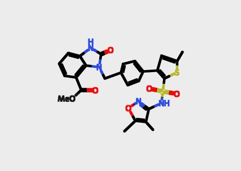 COC(=O)c1cccc2[nH]c(=O)n(Cc3ccc(-c4cc(C)sc4S(=O)(=O)Nc4noc(C)c4C)cc3)c12